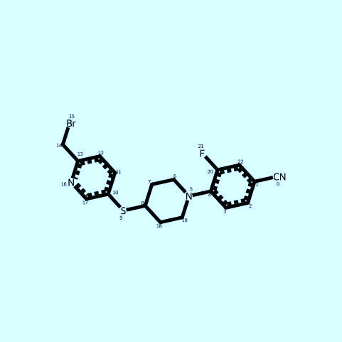 N#Cc1ccc(N2CCC(Sc3ccc(CBr)nc3)CC2)c(F)c1